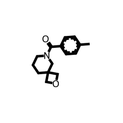 Cc1ccc(C(=O)N2CCCC3(COC3)C2)cc1